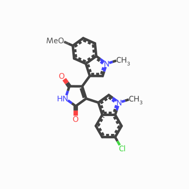 COc1ccc2c(c1)c(C1=C(c3cn(C)c4cc(Cl)ccc34)C(=O)NC1=O)cn2C